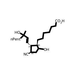 CCCCCC(C)(O)C=C[C@H]1[C@H](C#N)CC(O)[C@@H]1CCCCCCC(=O)O